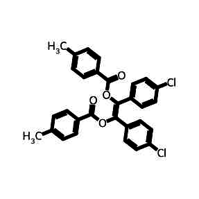 Cc1ccc(C(=O)OC(=C(OC(=O)c2ccc(C)cc2)c2ccc(Cl)cc2)c2ccc(Cl)cc2)cc1